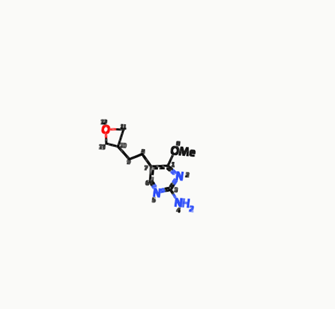 COc1nc(N)ncc1CCC1COC1